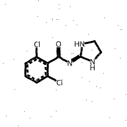 O=C(N=C1NCCN1)c1c(Cl)cccc1Cl